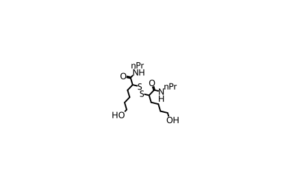 CCCNC(=O)C(CCCCO)SSC(CCCCO)C(=O)NCCC